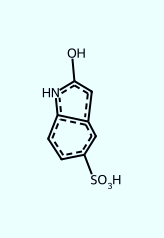 O=S(=O)(O)c1ccc2[nH]c(O)cc2c1